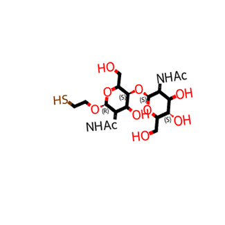 CC(=O)NC1C(O)[C@H](O)C(CO)O[C@H]1O[C@@H]1C(CO)O[C@@H](OCCS)C(NC(C)=O)C1O